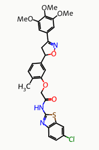 COc1cc(C2=NOC(c3ccc(C)c(OCC(=O)Nc4nc5ccc(Cl)cc5s4)c3)C2)cc(OC)c1OC